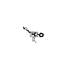 CCOCCCNC(=O)c1cnc(-c2ccccc2)nc1N